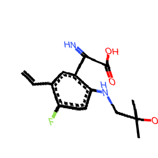 C=Cc1cc(C(=N)C(=O)O)c(NCC(C)(C)O)cc1F